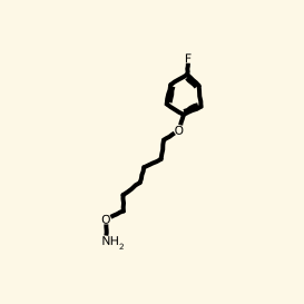 NOCCCCCCOc1ccc(F)cc1